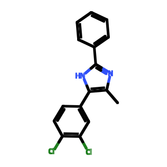 Cc1nc(-c2ccccc2)[nH]c1-c1ccc(Cl)c(Cl)c1